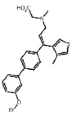 CCOc1cccc(-c2ccc(/C(=C/CN(C)CC(=O)O)c3cscc3C)cc2)c1